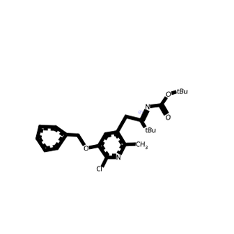 Cc1nc(Cl)c(OCc2ccccc2)cc1C/C(=N/C(=O)OC(C)(C)C)C(C)(C)C